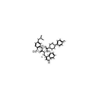 CCOc1ccc(CN(C)C)cc1NC(=O)[C@H](NC(=O)N1CCN(c2ccc(C)cc2)CC1)[C@@H](C)c1c[nH]c2ccccc12